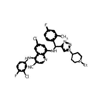 CCN1CCC(n2cc(C(Nc3cc(Cl)cc4c(Nc5ccc(F)c(Cl)c5)c(C#N)cnc34)c3ccc(F)cc3C)nn2)CC1